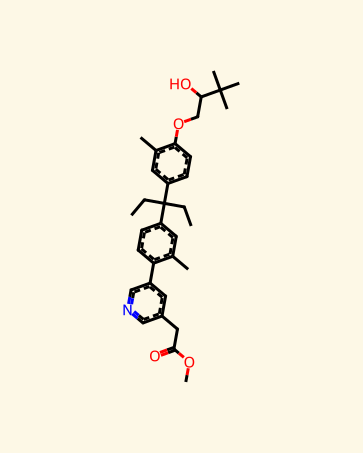 CCC(CC)(c1ccc(OCC(O)C(C)(C)C)c(C)c1)c1ccc(-c2cncc(CC(=O)OC)c2)c(C)c1